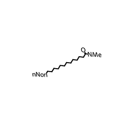 CCCCCCCCCCCCCCCCCCCCCC(=O)NC